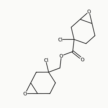 O=C(OCC1(Cl)CCC2OC2C1)C1(Cl)CCC2OC2C1